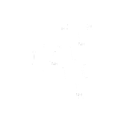 C1COCCN1.CC(C)NC(=O)c1ccc(N)cc1